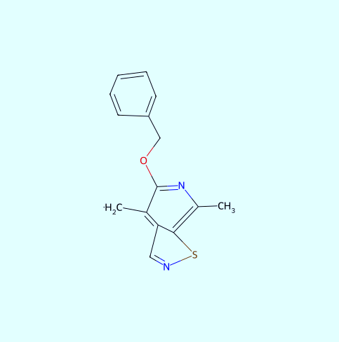 [CH2]c1c(OCc2ccccc2)nc(C)c2sncc12